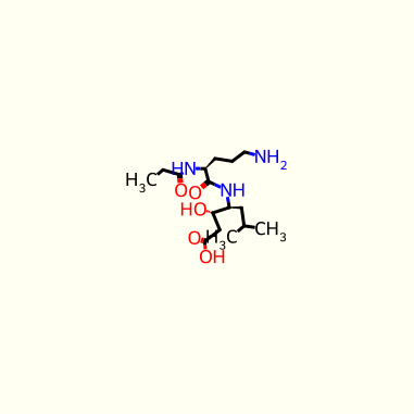 CCC(=O)N[C@@H](CCCN)C(=O)N[C@@H](CC(C)C)[C@@H](O)CC(=O)O